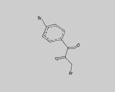 O=C(CBr)C(=O)c1ccc(Br)cc1